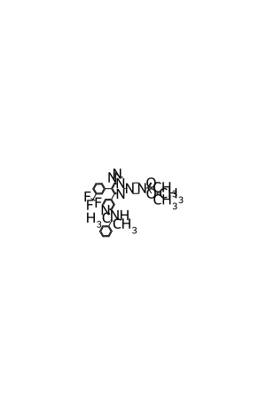 CC(C)(C)OC(=O)N1CCN(c2nc(-c3ccnc(NC(C)(C)c4ccccc4)c3)c(-c3cccc(C(F)(F)F)c3)c3nncn23)CC1